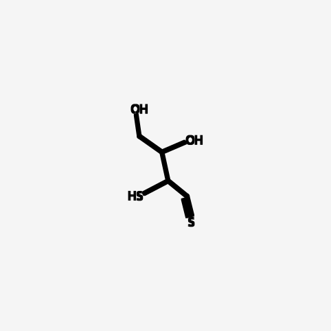 OCC(O)C(S)C=S